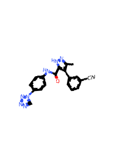 Cc1n[nH]c(C(=O)Nc2ccc(-n3cnnn3)cc2)c1-c1cccc(C#N)c1